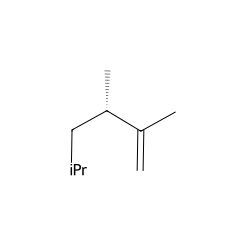 C=C(C)[C@@H](C)CC(C)C